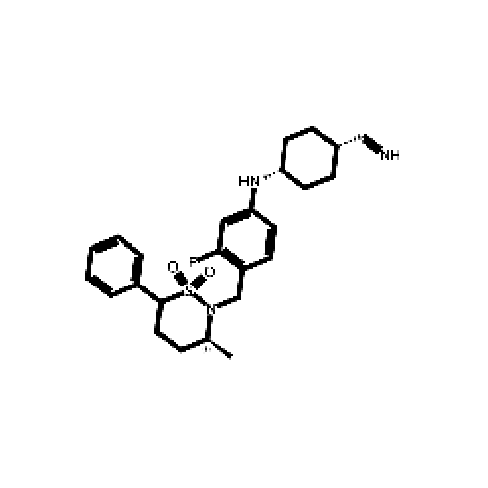 C[C@H]1CCC(c2ccccc2)S(=O)(=O)N1Cc1ccc(N[C@H]2CC[C@@H](C=N)CC2)cc1F